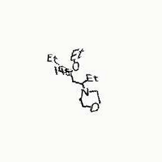 CCO[SiH](CC(CC)N1CCOCC1)OCC